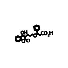 O=C(O)CC(OCCCc1c(O)c2ccccc2oc1=O)c1ccccc1